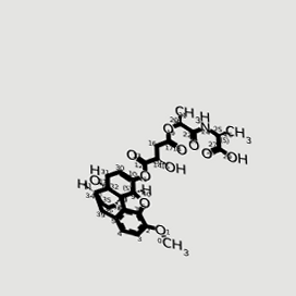 COc1ccc2c3c1O[C@@H]1C(OC(=O)[C@@H](O)CC(=O)O[C@@H](C)C(=O)N[C@@H](C)C(=O)O)=CC[C@]4(O)[C@@H](CCC[C@@]314)C2